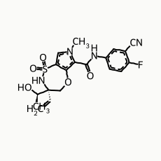 C=C[C@@]1([C@@H](C)O)COc2c(cn(C)c2C(=O)Nc2ccc(F)c(C#N)c2)S(=O)(=O)N1